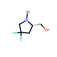 CCN1CC(F)(F)C[C@H]1CO